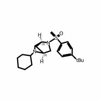 C=S(=O)(c1ccc(C(C)(C)C)cc1)N1C[C@@H]2C[C@H]1CN2C1CCCCC1